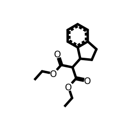 CCOC(=O)C(C(=O)OCC)C1CCc2ccccc21